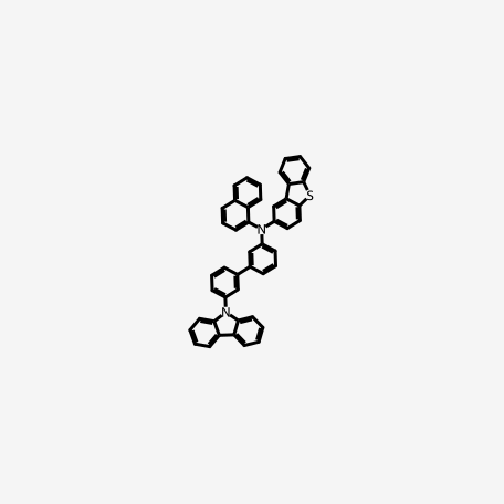 c1cc(-c2cccc(-n3c4ccccc4c4ccccc43)c2)cc(N(c2ccc3sc4ccccc4c3c2)c2cccc3ccccc23)c1